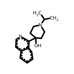 CC(C)N1CCC(O)(c2nccc3ccccc23)CC1